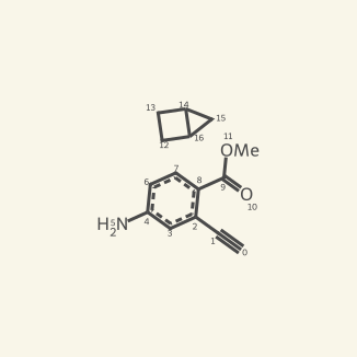 C#Cc1cc(N)ccc1C(=O)OC.C1CC2CC12